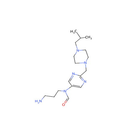 CC(C)CN1CCN(Cc2ncc(N(C=O)CCCN)cn2)CC1